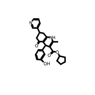 CC1=C(C(=O)OC2CCCC2)C(c2cccc(O)c2)C2=C(CC(c3cccnc3)CC2=O)N1